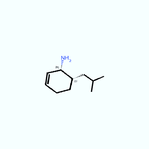 CC(C)C[C@@H]1CCC=C[C@@H]1N